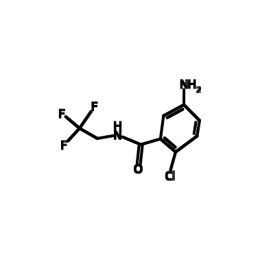 Nc1ccc(Cl)c(C(=O)NCC(F)(F)F)c1